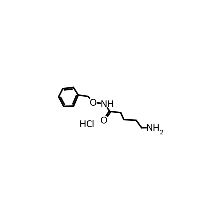 Cl.NCCCCC(=O)NOCc1ccccc1